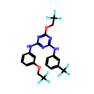 FC(F)(F)COc1cccc(Nc2nc(Nc3cccc(C(F)(F)F)c3)nc(OCC(F)(F)F)n2)c1